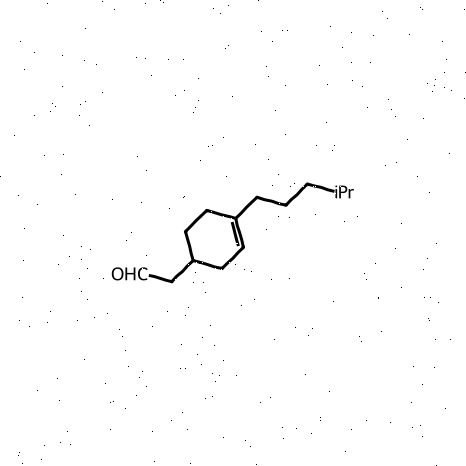 CC(C)CCCC1=CCC(CC=O)CC1